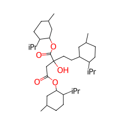 CC1CCC(C(C)C)C(CCC(O)(CC(=O)OC2CC(C)CCC2C(C)C)C(=O)OC2CC(C)CCC2C(C)C)C1